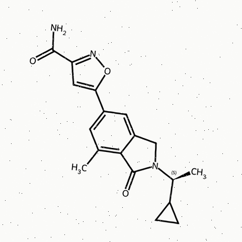 Cc1cc(-c2cc(C(N)=O)no2)cc2c1C(=O)N([C@@H](C)C1CC1)C2